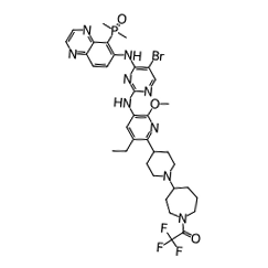 CCc1cc(Nc2ncc(Br)c(Nc3ccc4nccnc4c3P(C)(C)=O)n2)c(OC)nc1C1CCN(C2CCCN(C(=O)C(F)(F)F)CC2)CC1